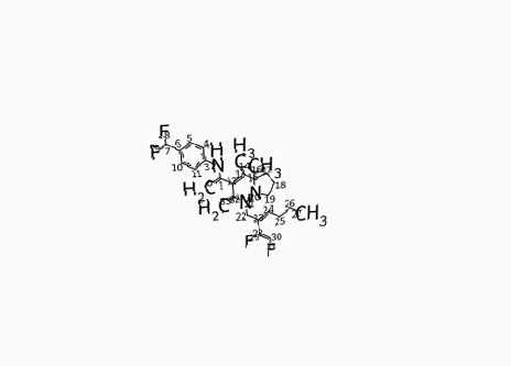 C=C(Nc1ccc(C(F)F)cc1)C1=C(C)C2(C)CCCN2N(CC(=C/CCC)/C(F)=C/F)C1=C